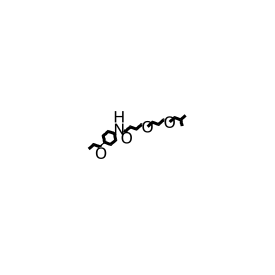 CCC(=O)[C@H]1CC[C@@H](NC(=O)CCCOCCCOCC(C)C)CC1